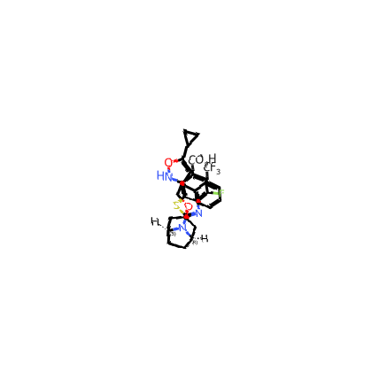 O=C(O)c1cc(F)c2nc(N3[C@@H]4CC[C@H]3CC(OCC3(c5ccccc5C(F)(F)F)C=C(C5CC5)ON3)C4)sc2c1